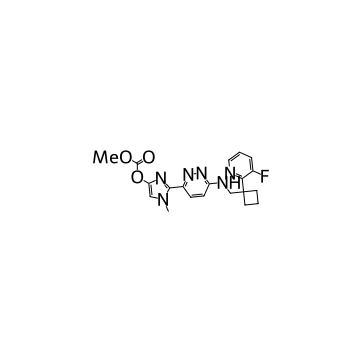 COC(=O)Oc1cn(C)c(-c2ccc(NCC3(c4ncccc4F)CCC3)nn2)n1